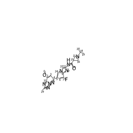 COc1cc(-c2cc(F)c3nc(NC(=O)C4CN(C(C)C)C4)cn3c2)nn2nc(C)nc12